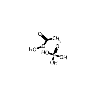 CC(=O)OO.O=P(O)(O)O